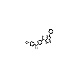 Clc1ccc(Nc2ccc(Nc3ncnc4cc(-c5ccccc5)sc34)cc2)cc1